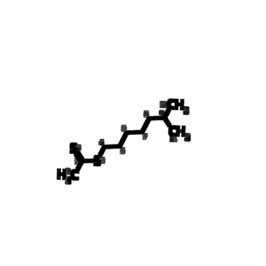 CC(=S)SCCCCCC(C)C